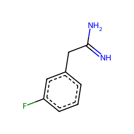 N=C(N)Cc1cccc(F)c1